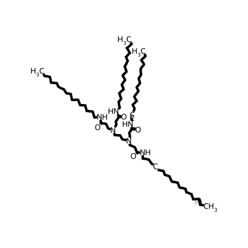 C/C=C/CCCCCCCCCCCCCCCNC(=O)CCN(CCCN(CCC(=O)NCCCCCCCCCCCCCCCC)CCC(=O)NCCCCCCCCCCCCCCCC)CCC(=O)NCCCCCCCCCCCCCCCC